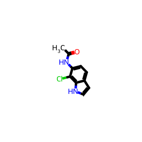 CC(=O)Nc1ccc2c[c][nH]c2c1Cl